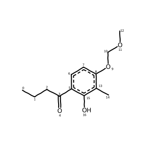 CCCC(=O)c1ccc(OCOC)c(C)c1O